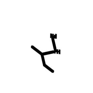 CCC(C)[PH][Nd]